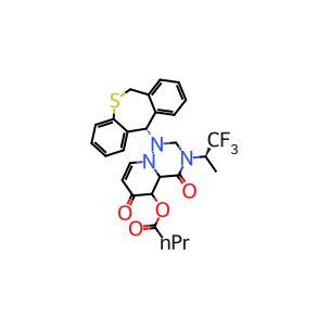 CCCC(=O)OC1C(=O)C=CN2C1C(=O)N([C@H](C)C(F)(F)F)CN2[C@H]1c2ccccc2CSc2ccccc21